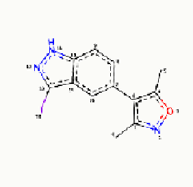 Cc1noc(C)c1-c1ccc2[nH]nc(I)c2c1